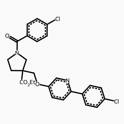 CCOC(=O)C1(COc2ccc(-c3ccc(Cl)cc3)nc2)CCN(C(=O)c2ccc(Cl)cc2)C1